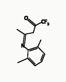 CC(CC(=O)C(F)(F)F)=Nc1c(C)cccc1C